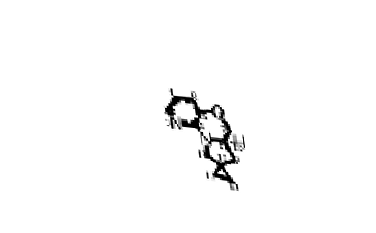 [c]1ccnc2c1OC[C@H]1CC3(CC3)CN21